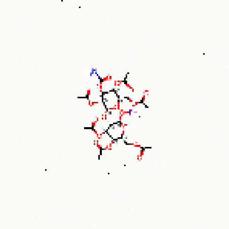 CC(=O)OC[C@@H]1O[C@H](OP)[C@@H](O[C@H]2O[C@H](COC(C)=O)[C@@H](OC(C)=O)[C@H](OC(N)=O)[C@@H]2OC(C)=O)[C@@H](OC(C)=O)[C@@H]1OC(C)=O